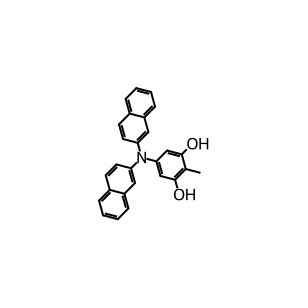 Cc1c(O)cc(N(c2ccc3ccccc3c2)c2ccc3ccccc3c2)cc1O